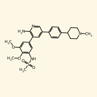 COc1cc(-c2cc(-c3ccc(C4CCN(C)CC4)cc3)cnc2N)cc(NS(C)(=O)=O)c1OC